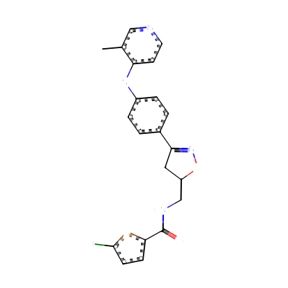 Cc1cnccc1Nc1ccc(C2=NOC(CNC(=O)c3ccc(Cl)s3)C2)cc1